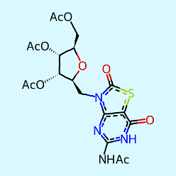 CC(=O)Nc1nc2c(sc(=O)n2C[C@@H]2O[C@H](COC(C)=O)[C@@H](OC(C)=O)[C@H]2OC(C)=O)c(=O)[nH]1